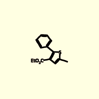 CCOC(=O)c1cc(C)sc1-c1ccccc1